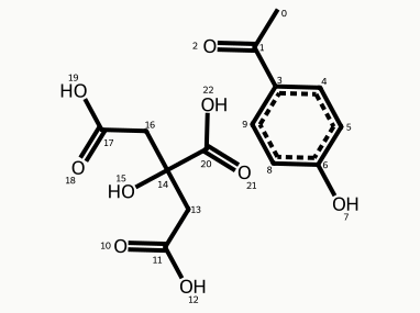 CC(=O)c1ccc(O)cc1.O=C(O)CC(O)(CC(=O)O)C(=O)O